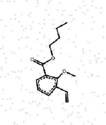 C=Cc1cccc(C(=O)OCCCC)c1OC